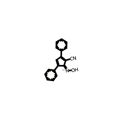 N#CC1=C(c2ccccc2)C=C(c2ccccc2)/C1=N/O